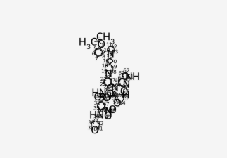 CC(C)Oc1ccccc1[C@@H]1CCCN1C1CC2(CCN(c3ccc(C(=O)NS(=O)(=O)c4ccc(NCC5CCOCC5)c([N+](=O)[O-])c4)c(N4C[C@H]5COCC[C@H]5Oc5nc6[nH]ccc6cc54)c3)CC2)C1